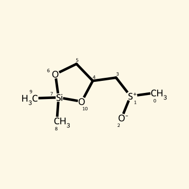 C[S+]([O-])CC1CO[Si](C)(C)O1